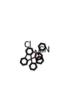 N#Cc1ccc2c(c1)C1(c3ccccc3-2)c2ccccc2-c2cc(Cl)cc(N(c3ccccc3)c3ccccc3)c21